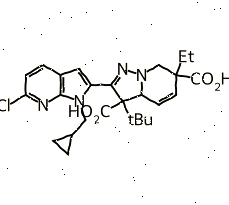 CCC1(C(=O)O)C=CC2N(C1)N=C(c1cc3ccc(Cl)nc3n1CC1CC1)C2(C(=O)O)C(C)(C)C